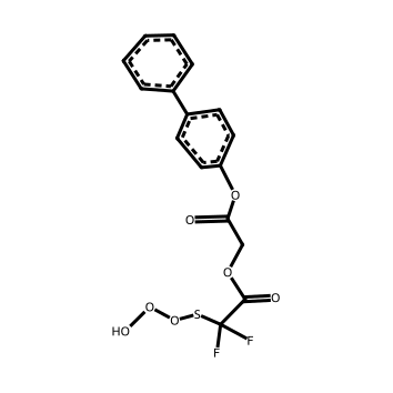 O=C(COC(=O)C(F)(F)SOOO)Oc1ccc(-c2ccccc2)cc1